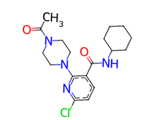 CC(=O)N1CCN(c2nc(Cl)ccc2C(=O)NC2CCCCC2)CC1